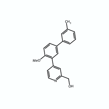 COc1ccc(-c2cccc(C)c2)cc1-c1ccnc(CO)c1